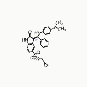 CN(C)c1ccc(N/C(=C2\C(=O)Nc3ccc(S(=O)(=O)NCC4CC4)cc32)c2ccccc2)cc1